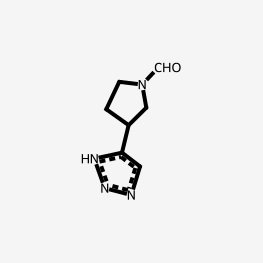 O=CN1CCC(c2cnn[nH]2)C1